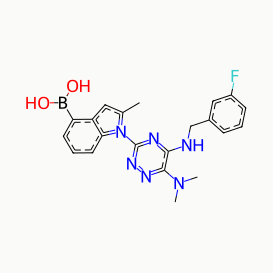 Cc1cc2c(B(O)O)cccc2n1-c1nnc(N(C)C)c(NCc2cccc(F)c2)n1